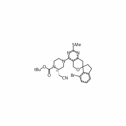 CSc1nc2c(c(N3CCN(C(=O)OC(C)(C)C)[C@@H](CC#N)C3)n1)COC1(CCc3cccc(Br)c31)C2